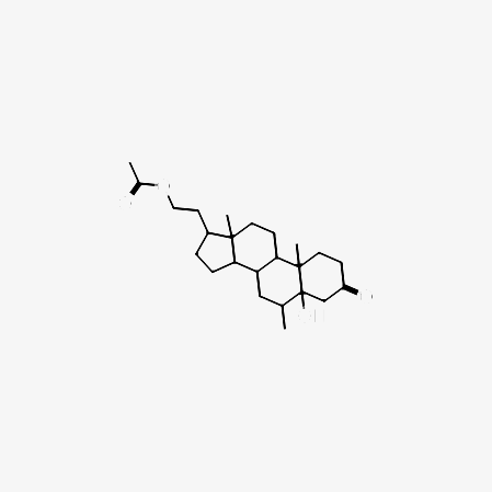 CC(=O)OCCC1CCC2C3CC(C)C4(O)CC(=O)CCC4(C)C3CCC12C